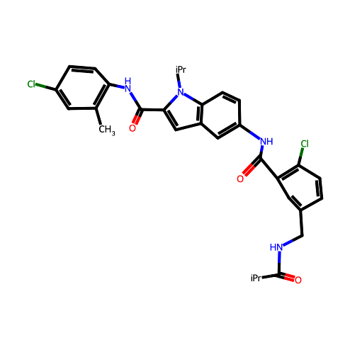 Cc1cc(Cl)ccc1NC(=O)c1cc2cc(NC(=O)c3cc(CNC(=O)C(C)C)ccc3Cl)ccc2n1C(C)C